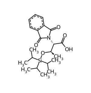 CC(C)[Si](O[C@H](C)[C@@H](C(=O)O)N1C(=O)c2ccccc2C1=O)(C(C)C)C(C)C